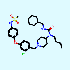 CCCCN(C(=O)NCC1CCCCC1)C1CCN(Cc2ccc(Oc3ccc(NS(C)(=O)=O)cc3)cc2)CC1.Cl